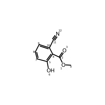 COC(=O)c1c(O)cccc1C#N